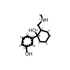 CNCC1CCCCC1(O)c1cccc(O)c1